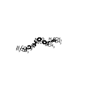 Cc1nc2ccc(Oc3ccc4ncc(-c5cnn([C@H]6CCN(C(=O)OC(C)(C)C)C[C@@H]6F)c5)nc4c3Cl)cc2n1COCC[Si](C)(C)C